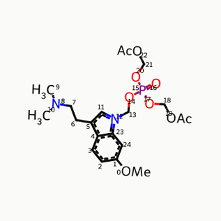 COc1ccc2c(CCN(C)C)cn(COP(=O)(OCOC(C)=O)OCOC(C)=O)c2c1